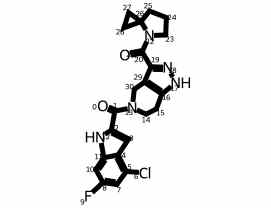 O=C(c1cc2c(Cl)cc(F)cc2[nH]1)N1CCc2[nH]nc(C(=O)N3CCCC34CC4)c2C1